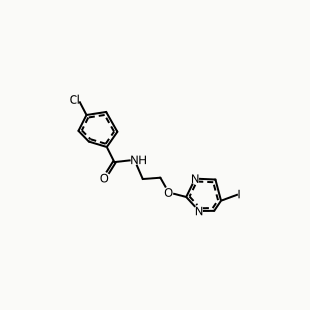 O=C(NCCOc1ncc(I)cn1)c1ccc(Cl)cc1